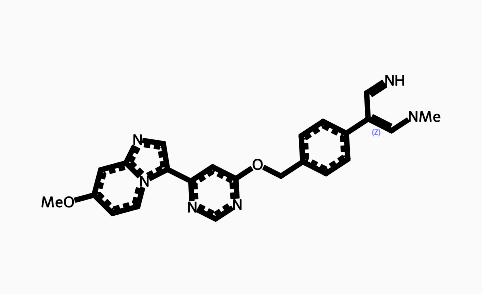 CN/C=C(\C=N)c1ccc(COc2cc(-c3cnc4cc(OC)ccn34)ncn2)cc1